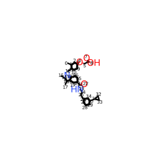 Cc1cc(OCC(=O)O)ccc1Cn1c(C)c(C)c2cc(C(=O)NCCc3cccc(C4CC4)c3)ccc21